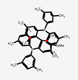 COc1c(C)cc(P(c2cc(C)cc(C)c2)c2cc(C)cc(C)c2)c(-c2c(P(c3cc(C)cc(C)c3)c3cc(C)cc(C)c3)cc(C(F)(F)F)cc2C(F)(F)F)c1C